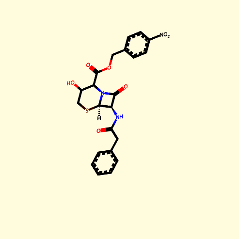 O=C(Cc1ccccc1)N[C@@H]1C(=O)N2C(C(=O)OCc3ccc([N+](=O)[O-])cc3)C(O)CS[C@H]12